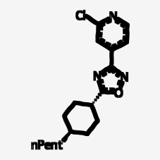 CCCCC[C@H]1CC[C@H](c2nc(-c3ccnc(Cl)c3)no2)CC1